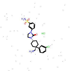 Cl.NC[C@]1(c2cccc(Cl)c2)CC[C@@H](N2CCN(c3cccc(S(N)(=O)=O)c3)C2=O)CC1